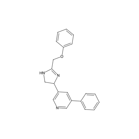 c1ccc(OCC2=NC(c3cncc(-c4ccccc4)c3)CN2)cc1